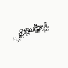 Cc1nn(C)cc1-c1ccc(OCC2C[C@@H]3CN(Cc4ccccc4F)C[C@@H]3C2)nn1